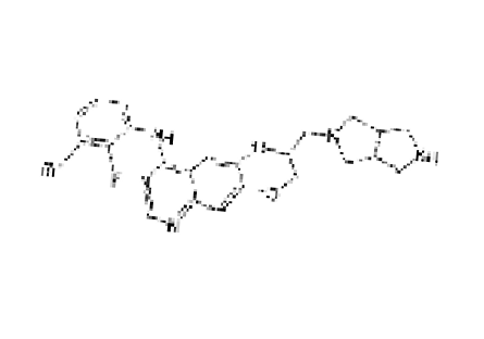 Fc1c(Br)cccc1Nc1ncnc2cc3c(cc12)OC(CN1CC2CNCC2C1)CO3